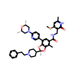 CSc1cc(C)[nH]c(=O)c1CNC(=O)c1cc(-c2ccc(N3C[C@@H](C)O[C@@H](C)C3)nc2)c2c(c1C)O[C@@](C)(C1CCN(CCc3ccccc3)CC1)O2